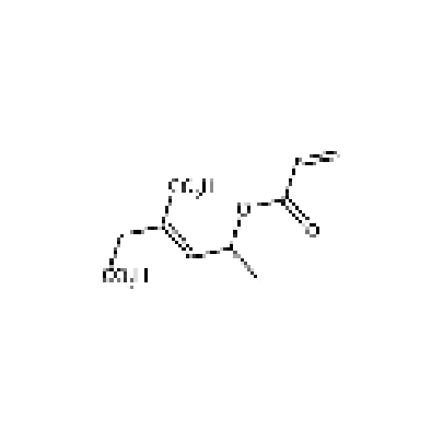 C=CC(=O)OC(C)C=C(CC(=O)O)C(=O)O